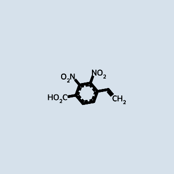 C=Cc1ccc(C(=O)O)c([N+](=O)[O-])c1[N+](=O)[O-]